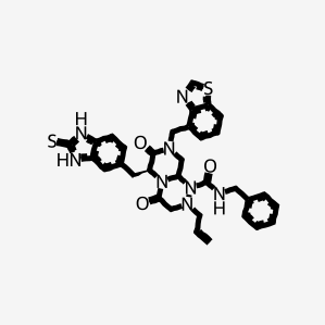 C=CCN1CC(=O)N2C(CN(Cc3cccc4scnc34)C(=O)[C@@H]2Cc2ccc3[nH]c(=S)[nH]c3c2)N1C(=O)NCc1ccccc1